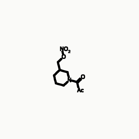 CC(=O)C(=O)N1CCCC(CO[N+](=O)[O-])C1